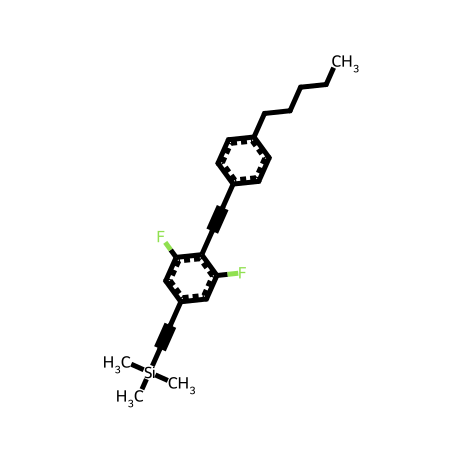 CCCCCc1ccc(C#Cc2c(F)cc(C#C[Si](C)(C)C)cc2F)cc1